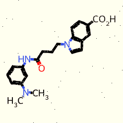 CN(C)c1cccc(NC(=O)CCCn2ccc3cc(C(=O)O)ccc32)c1